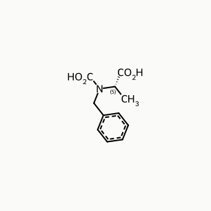 C[C@@H](C(=O)O)N(Cc1ccccc1)C(=O)O